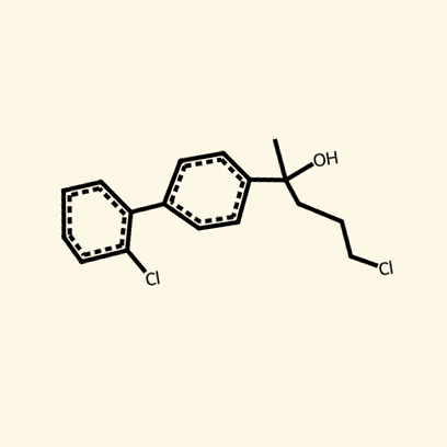 CC(O)(CCCCl)c1ccc(-c2ccccc2Cl)cc1